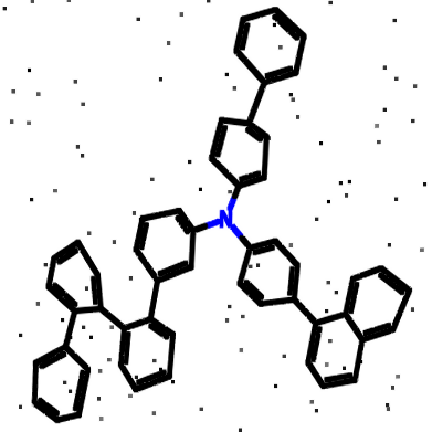 c1ccc(-c2ccc(N(c3ccc(-c4cccc5ccccc45)cc3)c3cccc(-c4ccccc4-c4ccccc4-c4ccccc4)c3)cc2)cc1